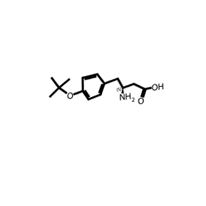 CC(C)(C)Oc1ccc(C[C@H](N)CC(=O)O)cc1